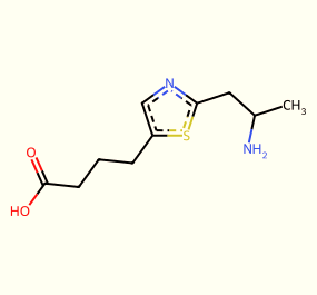 CC(N)Cc1ncc(CCCC(=O)O)s1